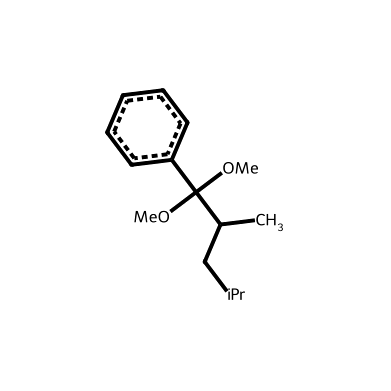 COC(OC)(c1ccccc1)C(C)CC(C)C